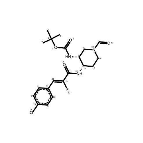 CC(C)(C)OC(=O)N[C@@H]1CN(C=O)CC[C@@H]1NC(=O)/C(F)=C/c1ccc(Cl)cc1